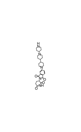 O=C1CCC(N2C(=O)c3ccc(N4CCC(C5CCN(C6CCNCC6)CC5)CC4)cc3C2=O)C(=O)N1